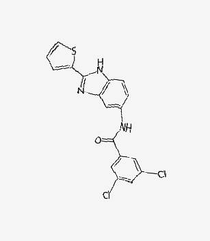 O=C(Nc1ccc2[nH]c(-c3cccs3)nc2c1)c1cc(Cl)cc(Cl)c1